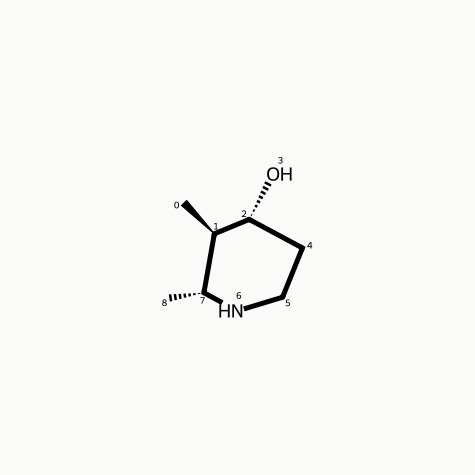 C[C@H]1[C@H](O)CCN[C@@H]1C